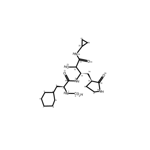 O=C(O)N[C@@H](CC1CCCCC1)C(=O)N[C@@H](C[C@@H]1CCNC1=O)C(O)C(=O)NC1CC1